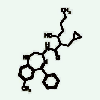 CCCCC(O)C(CC1CC1)C(=O)N[C@@H]1CNc2ccc(C)cc2C(c2ccccc2)=N1